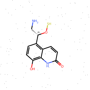 NC[C@H](OS)c1ccc(O)c2[nH]c(=O)ccc12